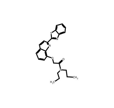 CCCN(CCC)C(=O)COc1cccc2ccc(-c3nc4ccccc4s3)nc12